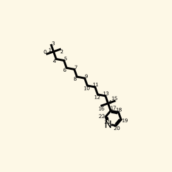 CC(C)(C)CCCCCCCCCCC(C)(C)c1cccnc1